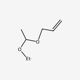 C=CCOC(C)O[CH]C